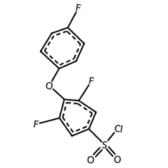 O=S(=O)(Cl)c1cc(F)c(Oc2ccc(F)cc2)c(F)c1